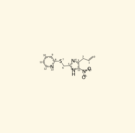 C=CCc1nc(CSc2ccccn2)[nH]c1[N+](=O)[O-]